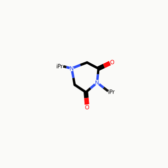 CC(C)N1CC(=O)N(C(C)C)C(=O)C1